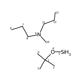 CC(C)(C)O[SiH3].CCCN(C)CCC